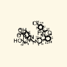 C[C@H](CO)Cn1c(CN2CCC(c3cccc4c3N(C)[C@H](c3ccc(Cl)cc3F)CO4)CC2)nc2ccc(C(=O)O)nc21